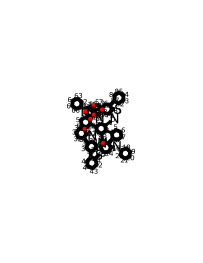 N#Cc1c(-c2cccc3c2c2ccccc2n3-c2ccccc2)c(C#N)c(-n2c3ccccc3c3cc4c(cc32)sc2ccccc24)c(-c2cccc3c2c2ccccc2n3-c2ccccc2)c1-n1c2ccccc2c2cc3c(cc21)sc1ccccc13